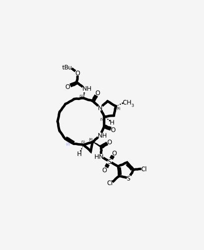 C[C@@H]1C[C@H]2C(=O)N[C@]3(C(=O)NS(=O)(=O)c4cc(Cl)sc4Cl)C[C@H]3/C=C\CCCCC[C@H](NC(=O)OC(C)(C)C)C(=O)N2C1